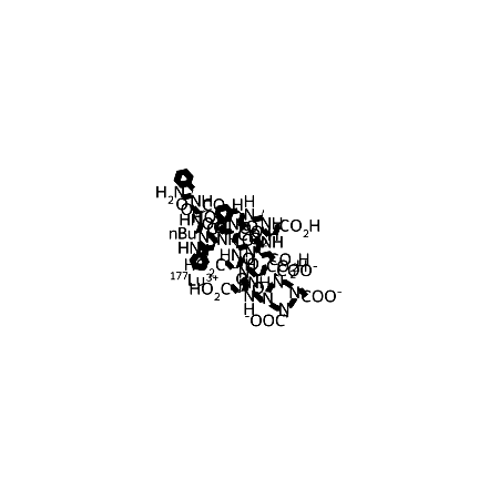 CCCC[C@H](NC(=O)[C@H](Cc1c[nH]c2ccccc12)NC(=O)CNC(=O)[C@H](Cc1ccc(O)cc1)NC(=O)[C@H](C)NC(=O)[C@@H](CCC(=O)O)NC(=O)[C@@H](CCC(=O)O)NC(=O)[C@@H](CCC(=O)O)NC(=O)[C@@H](CCC(=O)O)NC(=O)[C@@H](CCC(=O)O)NC(=O)[C@@H](CCC(=O)O)NC(=O)CN1CCN(CC(=O)[O-])CCN(CC(=O)[O-])CCN(CC(=O)[O-])CC1)C(=O)N[C@@H](CC(=O)O)C(=O)N[C@@H](Cc1ccccc1)C(N)=O.[177Lu+3]